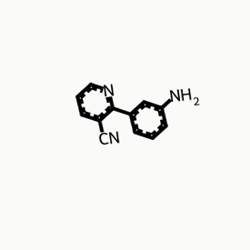 N#Cc1cccnc1-c1cccc(N)c1